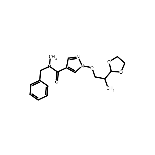 CC(COn1cc(C(=O)N(C)Cc2ccccc2)cn1)C1OCCO1